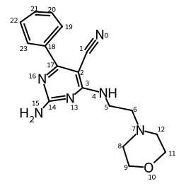 N#Cc1c(NCCN2CCOCC2)nc(N)nc1-c1ccccc1